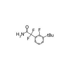 CC(C)(C)c1cccc(C(F)(F)C(N)=O)c1F